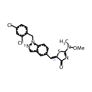 CON(C)C1=NC(=O)/C(=C/c2ccc3c(cnn3Cc3ccc(Cl)cc3C(F)(F)F)c2)S1